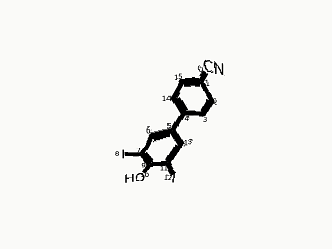 N#Cc1ccc(-c2cc(I)c(O)c(I)c2)cc1